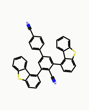 N#Cc1ccc(-c2cc(-c3cccc4sc5ccccc5c34)c(C#N)c(-c3cccc4sc5ccccc5c34)c2)cc1